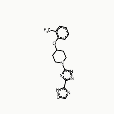 FC(F)(F)c1ccccc1OC1CCN(c2nnc(-c3ncon3)s2)CC1